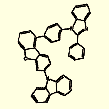 c1ccc(-c2nc3ccccc3n2-c2ccc(-c3cccc4oc5cc(-n6c7ccccc7c7ccccc76)ccc5c34)cc2)cc1